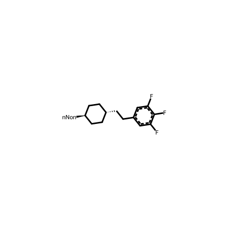 CCCCCCCCC[C@H]1CC[C@H](CCc2cc(F)c(F)c(F)c2)CC1